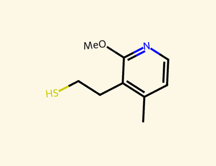 COc1nccc(C)c1CCS